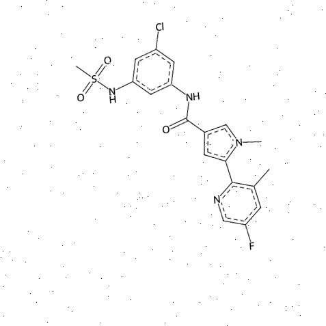 Cc1cc(F)cnc1-c1cc(C(=O)Nc2cc(Cl)cc(NS(C)(=O)=O)c2)cn1C